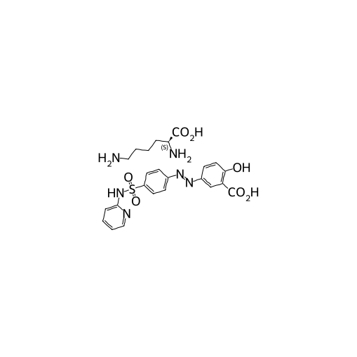 NCCCC[C@H](N)C(=O)O.O=C(O)c1cc(N=Nc2ccc(S(=O)(=O)Nc3ccccn3)cc2)ccc1O